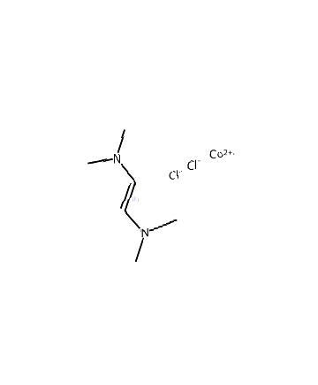 CN(C)/C=C/N(C)C.[Cl-].[Cl-].[Co+2]